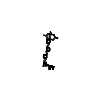 CC(C)CN(C)CCOCCOCCOC12CC(C)CC(C)(CC(C)C1)C2